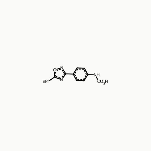 CCCc1nc(-c2ccc(NC(=O)O)cc2)no1